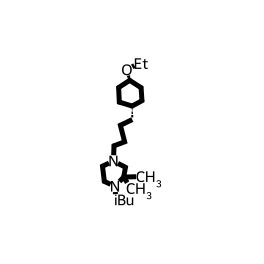 CCO[C@H]1CC[C@H](CCCCN2CCN(C(C)CC)C(C)(C)C2)CC1